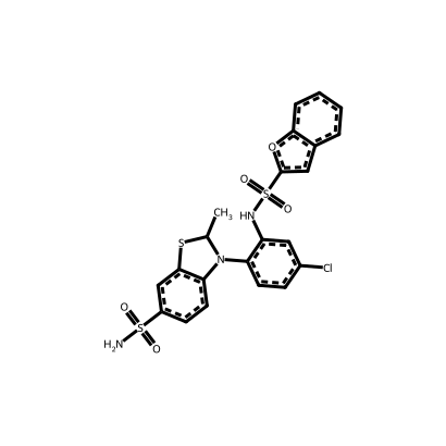 CC1Sc2cc(S(N)(=O)=O)ccc2N1c1ccc(Cl)cc1NS(=O)(=O)c1cc2ccccc2o1